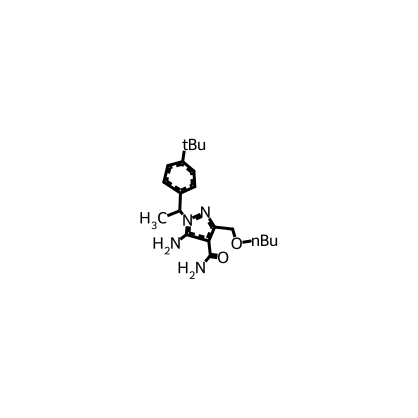 CCCCOCc1nn(C(C)c2ccc(C(C)(C)C)cc2)c(N)c1C(N)=O